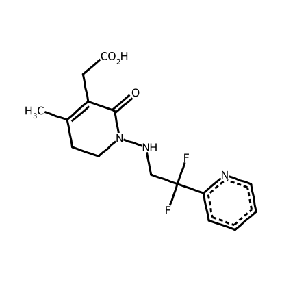 CC1=C(CC(=O)O)C(=O)N(NCC(F)(F)c2ccccn2)CC1